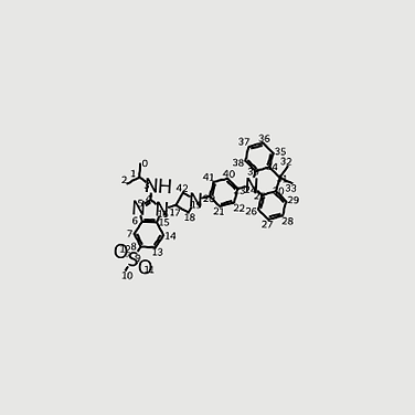 CC(C)Nc1nc2cc(S(C)(=O)=O)ccc2n1C1CN(c2ccc(N3c4ccccc4C(C)(C)c4ccccc43)cc2)C1